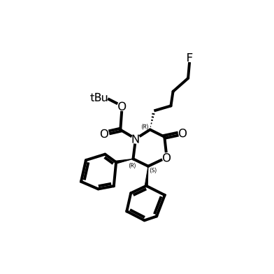 CC(C)(C)OC(=O)N1[C@H](CCCCF)C(=O)O[C@@H](c2ccccc2)[C@H]1c1ccccc1